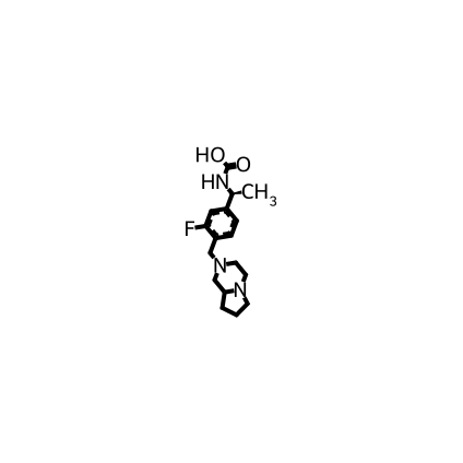 C[C@H](NC(=O)O)c1ccc(CN2CCN3CCCC3C2)c(F)c1